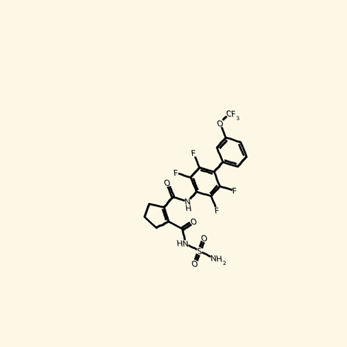 NS(=O)(=O)NC(=O)C1=C(C(=O)Nc2c(F)c(F)c(-c3cccc(OC(F)(F)F)c3)c(F)c2F)CCC1